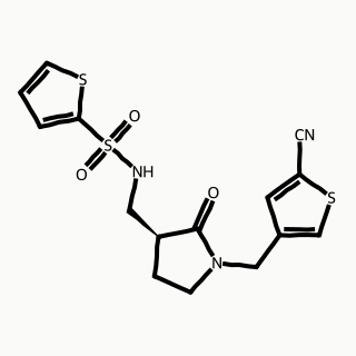 N#Cc1cc(CN2CC[C@@H](CNS(=O)(=O)c3cccs3)C2=O)cs1